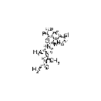 C=CC(=O)N1C[C@@H](N2CCN(C(=O)c3nn4ccc(Cl)cc4c3-c3cc(F)ccc3Cl)C[C@@H]2C)[C@H]1C